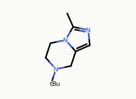 Cc1ncc2n1CCN(C(C)(C)C)C2